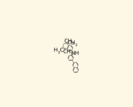 CC1(C)CCC(C)(C)c2cc(Nc3cccc(-c4ccc5ccccc5c4)c3)ccc21